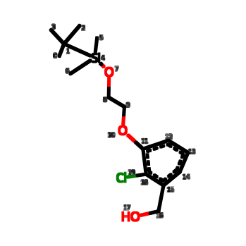 CC(C)(C)[Si](C)(C)OCCOc1cccc(CO)c1Cl